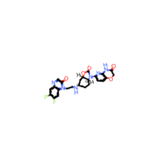 O=C1COc2ccc(N3C(=O)O[C@@H]4C[C@@H](NCCn5c(=O)cnc6cc(F)c(F)cc65)CC[C@@H]43)nc2N1